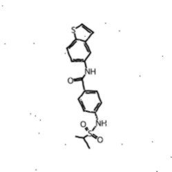 CC(C)S(=O)(=O)Nc1ccc(C(=O)Nc2ccc3sccc3c2)cc1